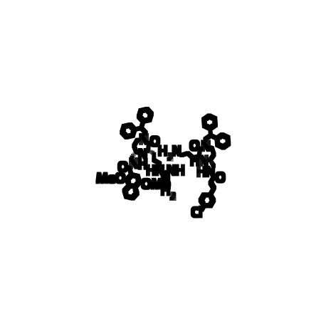 COc1cc(C(=O)NC[C@@H]2CCN(CC(c3ccccc3)c3ccccc3)C(=O)[C@H](CCCNC(=N)N)N2)c(OC)c2ccccc12.NCCC[C@@H]1N[C@H](CNC(=O)/C=C/c2ccc(Cl)cc2)CCN(CC(c2ccccc2)c2ccccc2)C1=O